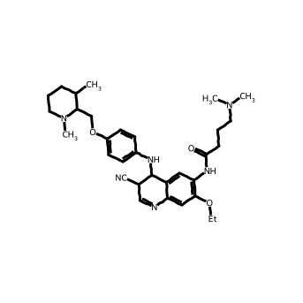 CCOc1cc2c(cc1NC(=O)CCCN(C)C)C(Nc1ccc(OCC3C(C)CCCN3C)cc1)C(C#N)C=N2